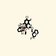 C=C[C@@H]1[C@@H]2CC[C@H](CN1c1nc(OC[C@@]34CCCN3C[C@H](F)C4)nc3c(F)c(Cl)cc(Br)c13)N2C(=O)O